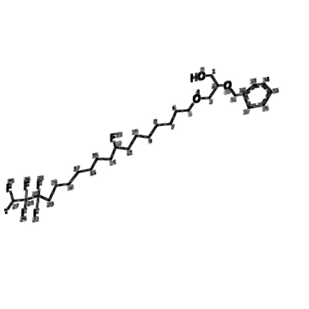 OCC(COCCCCCCCC(F)CCCCCCCC(F)(F)C(F)(F)C(F)F)OCc1ccccc1